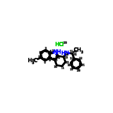 Cc1ccc2[nH]c3c(c2c1)CCCC3N[C@H](C)c1ccccc1.Cl